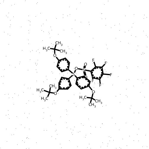 CC(C)(C)Oc1ccc(S(OS(=O)(=O)c2c(F)c(F)c(F)c(F)c2F)(c2ccc(OC(C)(C)C)cc2)c2ccc(OC(C)(C)C)cc2)cc1